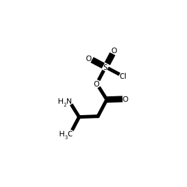 CC(N)CC(=O)OS(=O)(=O)Cl